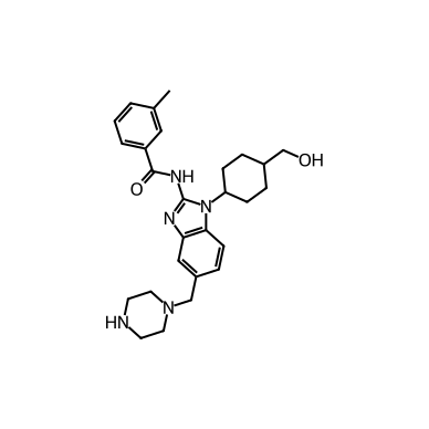 Cc1cccc(C(=O)Nc2nc3cc(CN4CCNCC4)ccc3n2C2CCC(CO)CC2)c1